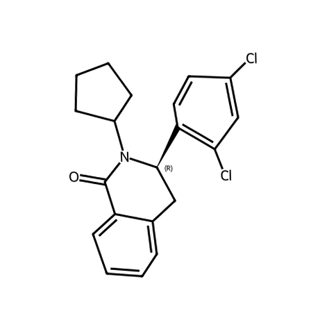 O=C1c2ccccc2C[C@H](c2ccc(Cl)cc2Cl)N1C1CCCC1